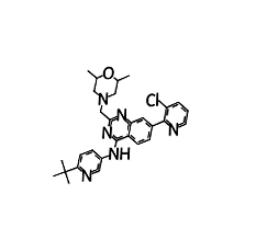 CC1CN(Cc2nc(Nc3ccc(C(C)(C)C)nc3)c3ccc(-c4ncccc4Cl)cc3n2)CC(C)O1